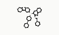 c1ccc(-c2ccc(N(c3ccc4sc5ccccc5c4c3)c3cc4ccccc4c4oc(-c5ccccc5)nc34)cc2)cc1